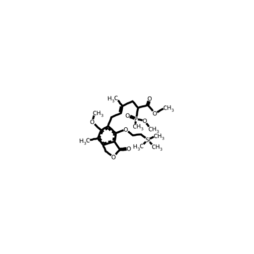 COC(=O)C(C/C(C)=C/Cc1c(OC)c(C)c2c(c1OCC[Si](C)(C)C)C(=O)OC2)P(C)(=O)OC